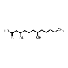 CCCCCC(O)CCCC(O)CC(=O)O